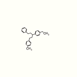 CCc1ccc(C(CCc2ccccc2)CCc2ccc(C)cc2)cc1